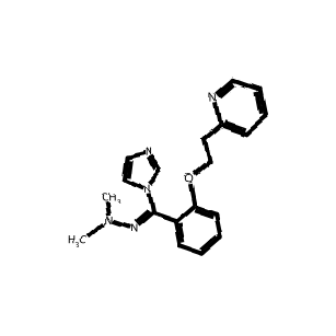 CN(C)N=C(c1ccccc1OCCc1ccccn1)n1ccnc1